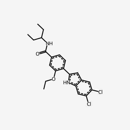 CCOc1cc(C(=O)NC(CC)CC)ccc1-c1cc2cc(Cl)c(Cl)cc2[nH]1